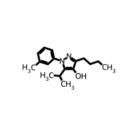 CCCCc1nn(-c2cccc(C)c2)c(C(C)C)c1O